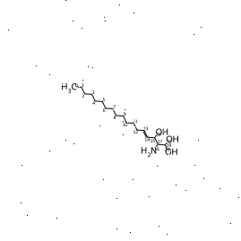 CCCCCCCCCCCCC/C=C/[C@@H](O)[C@H](N)C(O)O